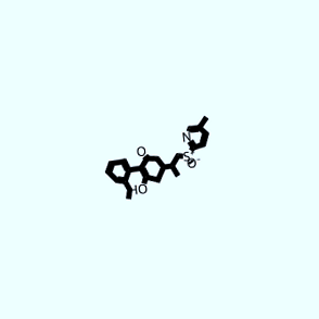 CCc1ccccc1C1=C(O)CC(C(C)C[S+]([O-])c2ccc(C)cn2)CC1=O